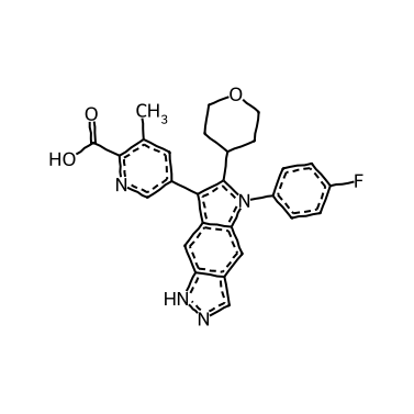 Cc1cc(-c2c(C3CCOCC3)n(-c3ccc(F)cc3)c3cc4cn[nH]c4cc23)cnc1C(=O)O